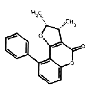 C[C@@H]1c2c(c3c(-c4ccccc4)cccc3oc2=O)O[C@@H]1C